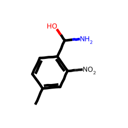 Cc1ccc(C(N)O)c([N+](=O)[O-])c1